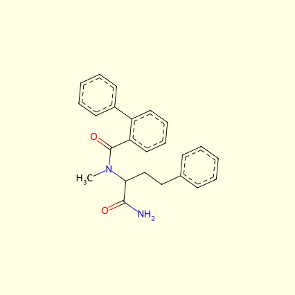 CN(C(=O)c1ccccc1-c1ccccc1)C(CCc1ccccc1)C(N)=O